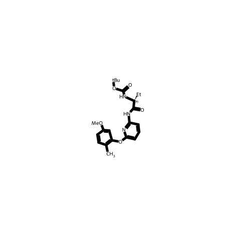 CC[C@@H](NC(=O)OC(C)(C)C)C(=O)Nc1cccc(Oc2cc(OC)ccc2C)n1